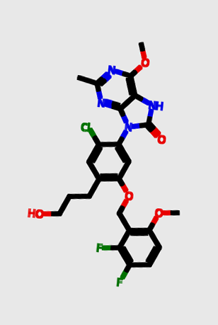 COc1ccc(F)c(F)c1COc1cc(-n2c(=O)[nH]c3c(OC)nc(C)nc32)c(Cl)cc1CCCO